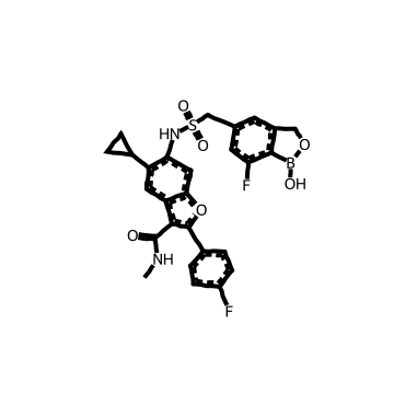 CNC(=O)c1c(-c2ccc(F)cc2)oc2cc(NS(=O)(=O)Cc3cc(F)c4c(c3)COB4O)c(C3CC3)cc12